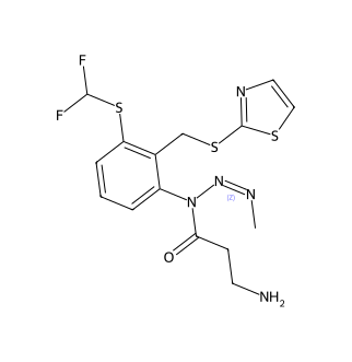 C/N=N\N(C(=O)CCN)c1cccc(SC(F)F)c1CSc1nccs1